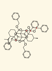 CC(=O)[C@H]1CCCC2(C(=O)OCc3ccccc3)C3(C(=O)OCc4ccccc4)CCC4(C(=O)OCc5ccccc5)C[C@@H](C)CCC4(C(=O)OCc4ccccc4)C3(C(=O)OCc3ccccc3)CC[C@]12C